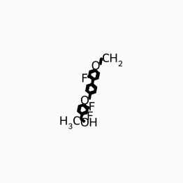 C=CCOc1ccc(-c2ccc(COc3ccc(C(C)O)c(F)c3F)cc2)c(F)c1